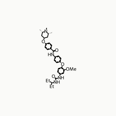 CCC(CC)NC(=O)Nc1ccc(Oc2ccc(NC(=O)c3ccc(OC4C[C@@H](C)N(C)[C@@H](C)C4)cc3)cc2)c(OC)c1